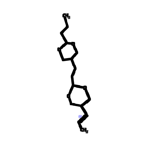 C/C=C/C1COC(CCC2COC(CCC)OC2)OC1